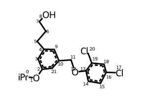 CC(C)Oc1cc(CCCO)cc(COc2ccc(Cl)cc2Cl)c1